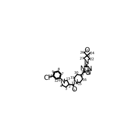 O=C(C1CCN(c2cccc(Cl)c2)C1)N1CCC(c2nc(N3CC4(COC4)C3)no2)CC1